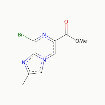 COC(=O)c1cn2cc(C)nc2c(Br)n1